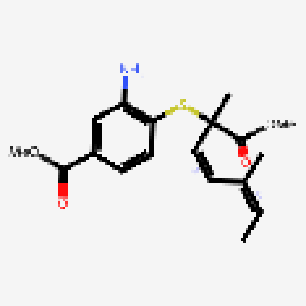 C/C=C(C)\C=C/C(C)(Sc1ccc(C(=O)OC)cc1N)C(=O)OC